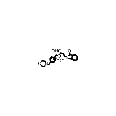 O=CC(CC(C(=O)O)N1Cc2ccccc2C1=O)OCc1ccc(CN2CCOCC2)cc1